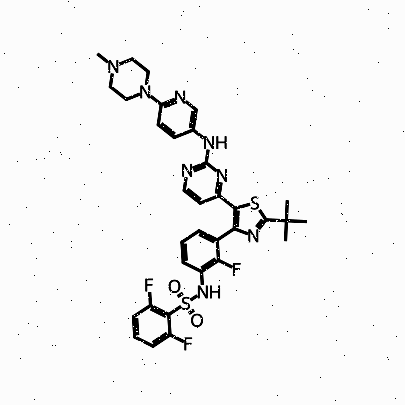 CN1CCN(c2ccc(Nc3nccc(-c4sc(C(C)(C)C)nc4-c4cccc(NS(=O)(=O)c5c(F)cccc5F)c4F)n3)cn2)CC1